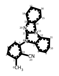 Cc1cccc(-n2c3ccccc3n3c4ccccc4nc23)c1C#N